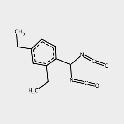 CCc1ccc(C(N=C=O)N=C=O)c(CC)c1